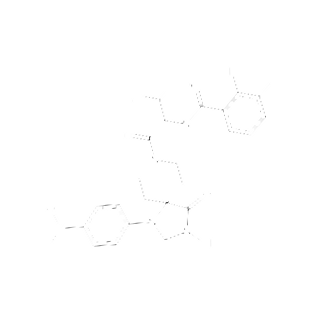 Cc1cccc(C(=O)NC(C(=O)N2CCC3(CC2)C(=O)N(C)CN3c2ccc(B(O)O)cc2)C(C)C)c1F